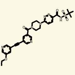 CCOc1cncc(C#Cc2cncc(C(=O)N3CCN(c4ccc(C(=O)NS(=O)(=O)C(C)(C)C)nn4)CC3)c2)c1